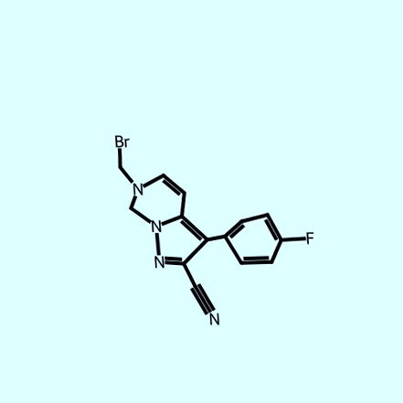 N#Cc1nn2c(c1-c1ccc(F)cc1)C=CN(CBr)C2